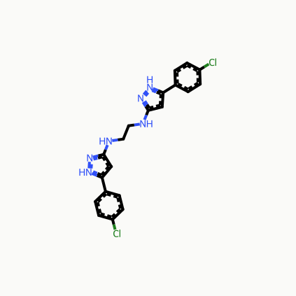 Clc1ccc(-c2cc(NCCNc3cc(-c4ccc(Cl)cc4)[nH]n3)n[nH]2)cc1